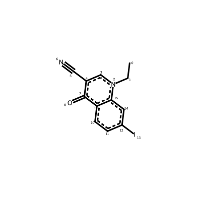 CCn1cc(C#N)c(=O)c2ccc(I)cc21